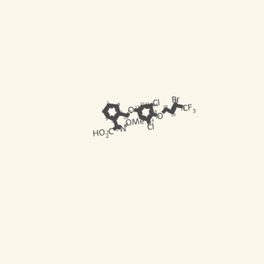 CO/N=C(/C(=O)O)c1ccccc1COc1cc(Cl)c(OCC=C(Br)C(F)(F)F)c(Cl)c1